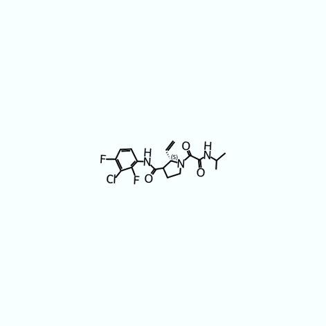 C=C[C@H]1C(C(=O)Nc2ccc(F)c(Cl)c2F)CCN1C(=O)C(=O)NC(C)C